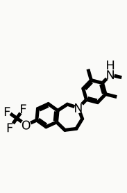 CNc1c(C)cc(N2CCCc3cc(OC(F)(F)F)ccc3C2)cc1C